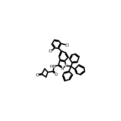 O=C1CC(C(=O)Nc2nn(C(c3ccccc3)(c3ccccc3)c3ccccc3)c3ccc(-c4c(Cl)cccc4Cl)cc23)C1